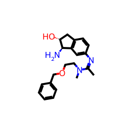 CC(=Nc1ccc2c(c1)[C@@H](N)[C@H](O)C2)N(C)CCOCc1ccccc1